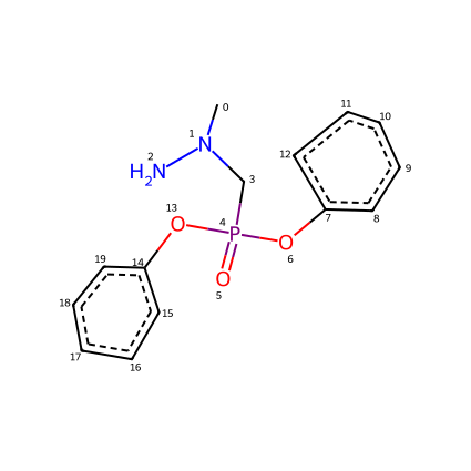 CN(N)CP(=O)(Oc1ccccc1)Oc1ccccc1